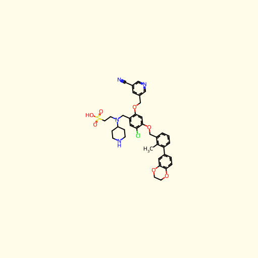 Cc1c(COc2cc(OCc3cncc(C#N)c3)c(CN(CCS(=O)(=O)O)C3CCNCC3)cc2Cl)cccc1-c1ccc2c(c1)OCCO2